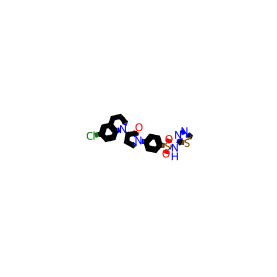 O=C1[C@@H](N2CCCc3cc(Cl)ccc32)CCN1c1ccc(S(=O)(=O)Nc2nncs2)cc1